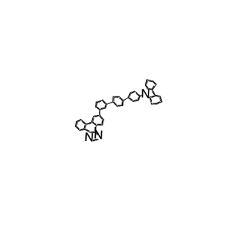 c1cc(-c2ccc(-c3ccc(-n4c5ccccc5c5ccccc54)cc3)cc2)cc(-c2ccc3c(c2)c2ccccc2c2nccnc32)c1